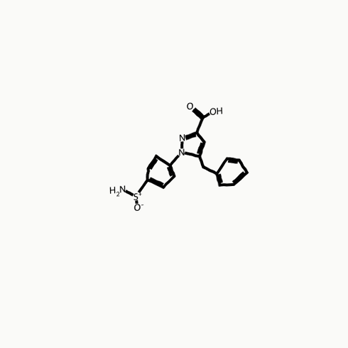 N[S+]([O-])c1ccc(-n2nc(C(=O)O)cc2Cc2ccccc2)cc1